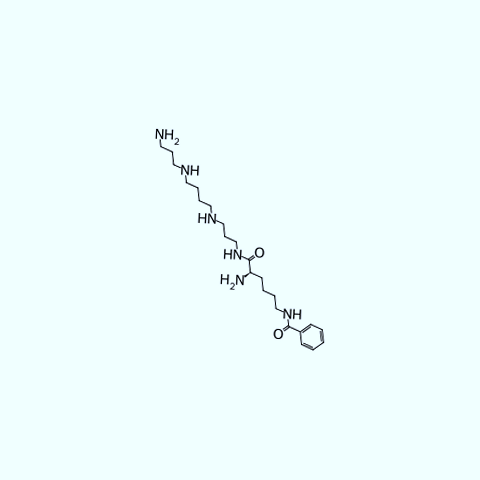 NCCCNCCCCNCCCNC(=O)[C@H](N)CCCCNC(=O)c1ccccc1